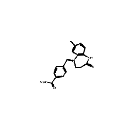 COC(=O)c1ccc(CN2CCC(=O)Nc3ccc(C)cc32)cc1